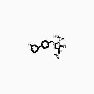 CB(O)N1C(=O)/C(=C/N(C)C)C[C@H]1Cc1ccc(-c2cccc(F)c2)cc1